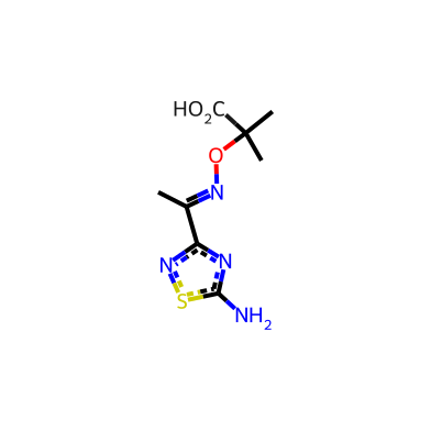 C/C(=N\OC(C)(C)C(=O)O)c1nsc(N)n1